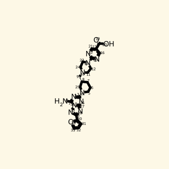 Nc1nc(N2CCC[C@@H](CN3CCN(c4ncc(C(=O)O)cn4)CC3)C2)nc2nc(-c3ccco3)nn12